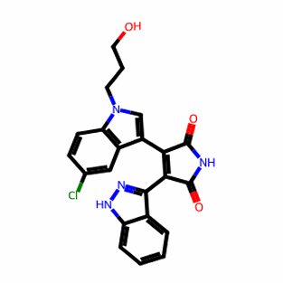 O=C1NC(=O)C(c2cn(CCCO)c3ccc(Cl)cc23)=C1c1n[nH]c2ccccc12